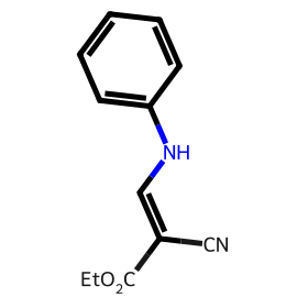 CCOC(=O)C(C#N)=CNc1ccccc1